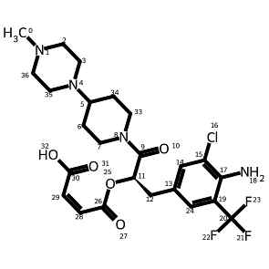 CN1CCN(C2CCN(C(=O)[C@@H](Cc3cc(Cl)c(N)c(C(F)(F)F)c3)OC(=O)/C=C\C(=O)O)CC2)CC1